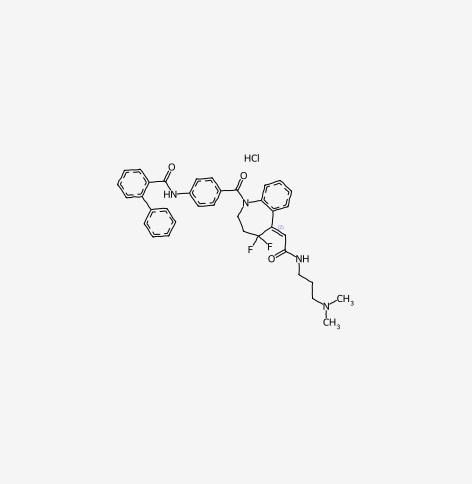 CN(C)CCCNC(=O)/C=C1/c2ccccc2N(C(=O)c2ccc(NC(=O)c3ccccc3-c3ccccc3)cc2)CCC1(F)F.Cl